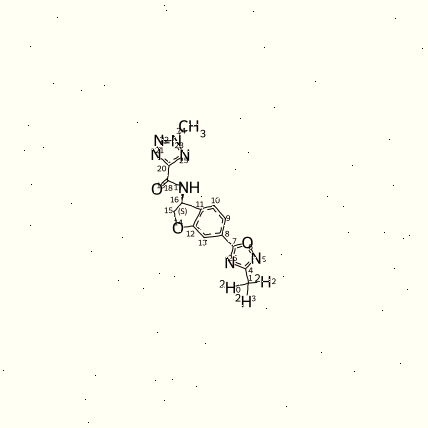 [2H]C([2H])([2H])c1noc(-c2ccc3c(c2)OC[C@H]3NC(=O)c2nnn(C)n2)n1